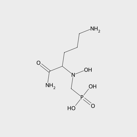 NCCCC(C(N)=O)N(O)CP(=O)(O)O